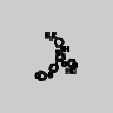 C[C@H]1CC[C@H](Nc2ncc(-c3ccc(OC4CCOCC4)cc3)c(O[C@@H]3CCOC3)n2)CC1.Cl